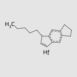 CCCCC[C]1C=Cc2cc3c(cc21)CCC3.[Hf]